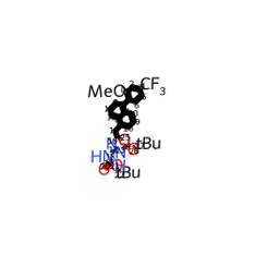 COc1cc(C(F)(F)F)ccc1-c1cccc2c(CCN=C(NC(=O)OC(C)(C)C)NC(=O)OC(C)(C)C)cccc12